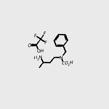 CC(N)CCN(Cc1ccccc1)C(=O)O.O=C(O)C(F)(F)F